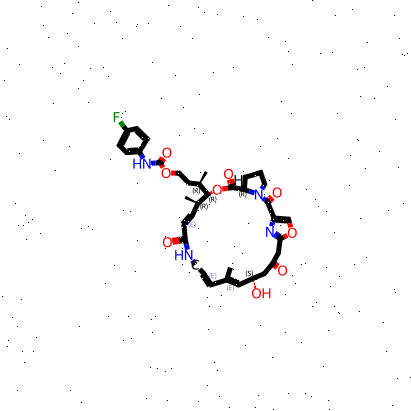 CC1=C\[C@@H](O)CC(=O)Cc2nc(co2)C(=O)N2CCC[C@@H]2C(=O)O[C@H]([C@H](C)CCOC(=O)Nc2ccc(F)cc2)[C@H](C)/C=C/C(=O)NC\C=C\1